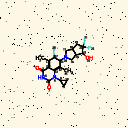 CC1=c2c(=O)[nH]c(=O)n(C3CC3)c2=C(C)C(N2CC3CC(F)(F)C(O)C3C2)C1F